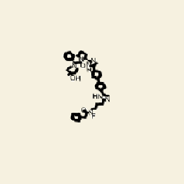 CC1(O)CCN([C@@H](C(=O)N2CCC[C@H]2c2ncc(-c3ccc(-c4ccc(-c5cnc(CCCCN(F)C(=O)Cc6ccccc6)[nH]5)cc4)cc3)[nH]2)c2ccccc2)CC1